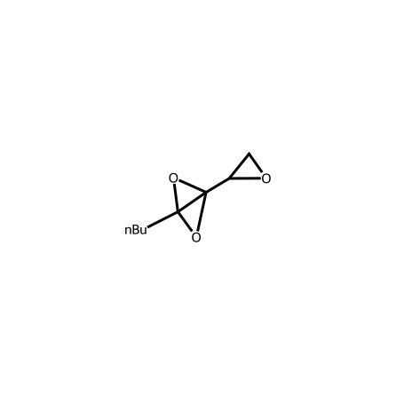 CCCCC12OC1(C1CO1)O2